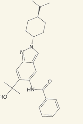 CC(C)[C@H]1CC[C@H](n2cc3cc(NC(=O)c4ccccc4)c(C(C)(C)O)cc3n2)CC1